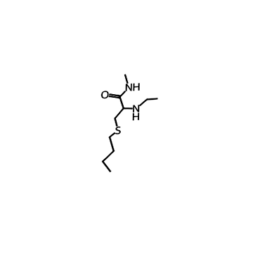 CCCCSCC(NCC)C(=O)NC